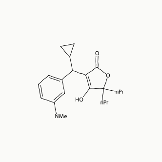 CCCC1(CCC)OC(=O)C(C(c2cccc(NC)c2)C2CC2)=C1O